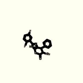 CCCCC1C(=O)Oc2[nH]c(-c3cc(F)ccc3F)nc2C1c1ccccc1